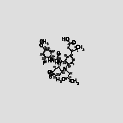 CCC(CC(=O)O)c1ccc(N(CC(C)C)C2CCS(=O)(=O)CC2)c(NC(=O)Nc2ccc(OC)cc2F)c1